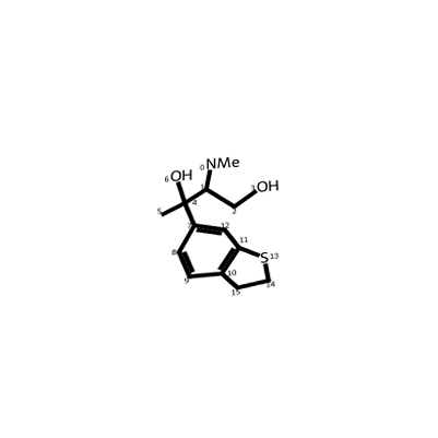 CNC(CO)C(C)(O)c1ccc2c(c1)SCC2